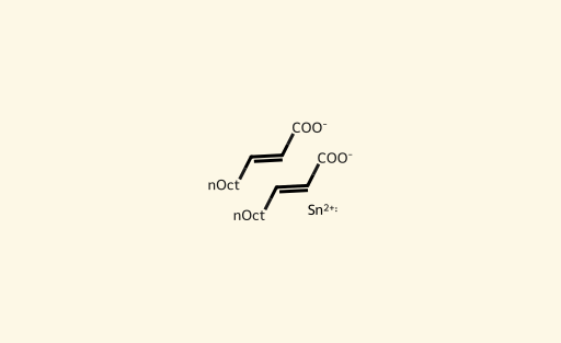 CCCCCCCCC=CC(=O)[O-].CCCCCCCCC=CC(=O)[O-].[Sn+2]